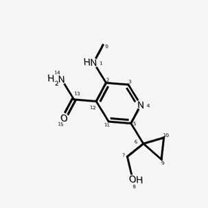 CNc1cnc(C2(CO)CC2)cc1C(N)=O